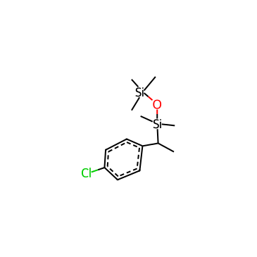 CC(c1ccc(Cl)cc1)[Si](C)(C)O[Si](C)(C)C